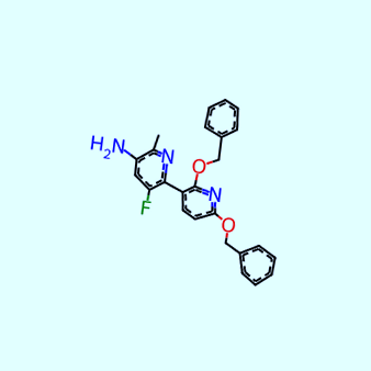 Cc1nc(-c2ccc(OCc3ccccc3)nc2OCc2ccccc2)c(F)cc1N